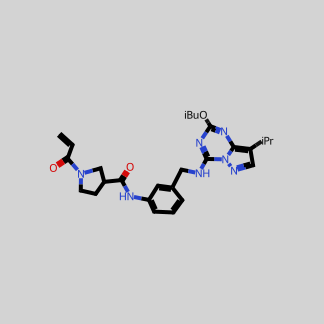 C=CC(=O)N1CCC(C(=O)Nc2cccc(CNc3nc(OCC(C)C)nc4c(C(C)C)cnn34)c2)C1